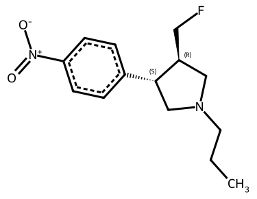 CCCN1C[C@H](CF)[C@@H](c2ccc([N+](=O)[O-])cc2)C1